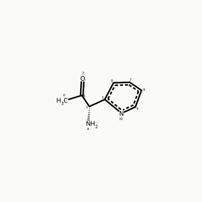 CC(=O)[C@@H](N)c1ccccn1